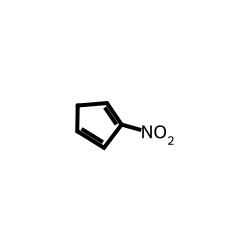 O=[N+]([O-])C1=CCC=C1